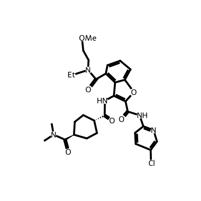 CCN(CCOC)C(=O)c1cccc2oc(C(=O)Nc3ccc(Cl)cn3)c(NC(=O)[C@H]3CC[C@H](C(=O)N(C)C)CC3)c12